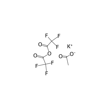 CC(=O)[O-].O=C(OC(=O)C(F)(F)F)C(F)(F)F.[K+]